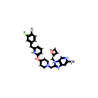 N#Cc1cc2nc(CN3CCC(Oc4cccc(Cc5ccc(Cl)c(F)c5)n4)CC3)n(C[C@@H]3CCO3)c2cn1